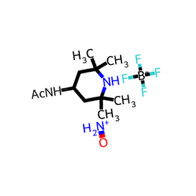 CC(=O)NC1CC(C)(C)NC(C)(C)C1.F[B-](F)(F)F.[NH2+]=O